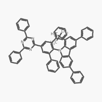 CC(C)(C)c1cc(-c2ccccc2)cc2c3cc(-c4ccccc4)ccc3n(-c3c(-c4ccccc4)cc(-c4nc(-c5ccccc5)nc(-c5ccccc5)n4)cc3-c3ccccc3)c12